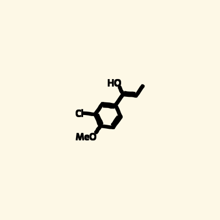 CC=C(O)c1ccc(OC)c(Cl)c1